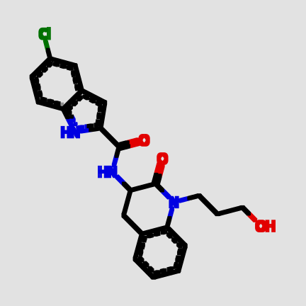 O=C(NC1Cc2ccccc2N(CCCO)C1=O)c1cc2cc(Cl)ccc2[nH]1